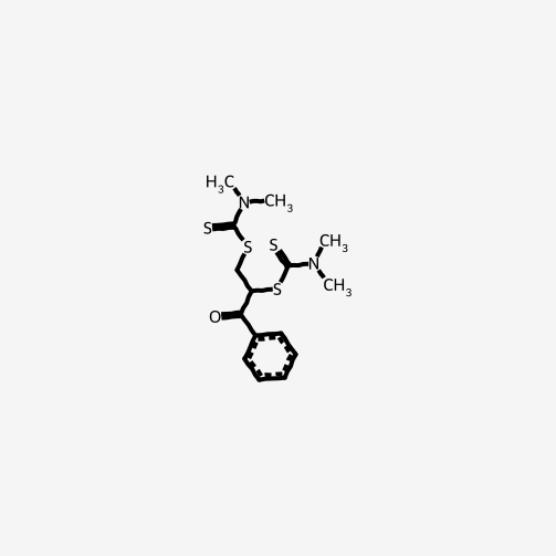 CN(C)C(=S)SCC(SC(=S)N(C)C)C(=O)c1ccccc1